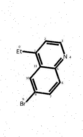 CCc1ccnc2ccc(Br)cc12